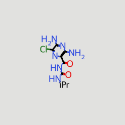 CC(C)NC(=O)NC(=O)c1nc(Cl)c(N)nc1N